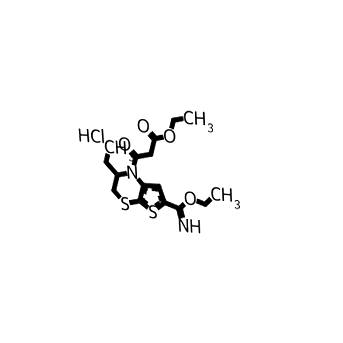 CCOC(=N)c1cc2c(s1)SCC(CC)N2C(=O)CC(=O)OCC.Cl